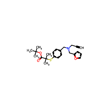 C#CCN(Cc1ccc(SC(C)(C)C(=O)OC(C)(C)C)cc1)Cc1ccco1